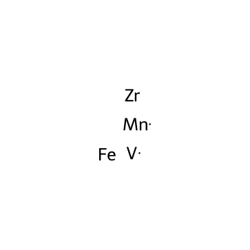 [Fe].[Mn].[V].[Zr]